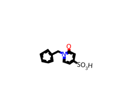 O=c1cc(S(=O)(=O)O)ccn1Cc1ccccc1